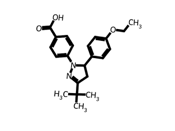 CCOc1ccc(C2CC(C(C)(C)C)=NN2c2ccc(C(=O)O)cc2)cc1